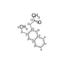 CCc1cc2ccccc2cc1CC(C)=O